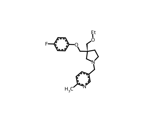 CCOC[C@@]1(COc2ccc(F)cc2)CCN(Cc2ccc(C)nc2)C1